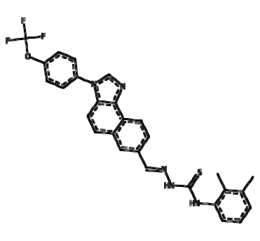 Cc1cccc(NC(=S)N/N=C/c2ccc3c(ccc4c3ncn4-c3ccc(OC(F)(F)F)cc3)c2)c1C